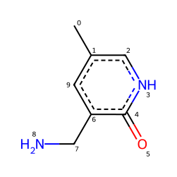 Cc1c[nH]c(=O)c(CN)c1